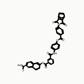 COC(=O)c1ccc2cc(OC(=O)c3cccc(C(=O)Nc4ccc(OC(=O)c5ccc(N6C(=O)C7C8C=CC(C8)C7C6=O)cc5)cc4)c3)ccc2c1